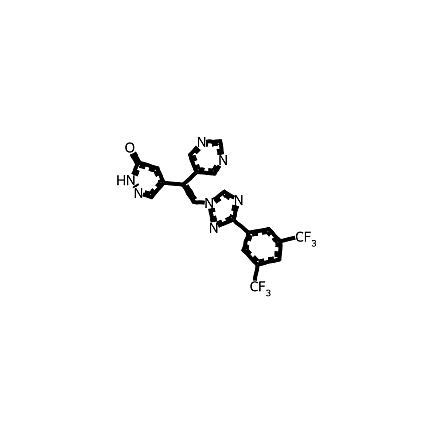 O=c1cc(C(=Cn2cnc(-c3cc(C(F)(F)F)cc(C(F)(F)F)c3)n2)c2cncnc2)cn[nH]1